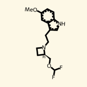 COc1ccc2[nH]cc(CCN3CC[C@@H]3COC(F)F)c2c1